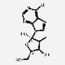 CC1C(O)[C@@H](CO)O[C@@]1(O)n1cnc2c(Cl)ncnc21